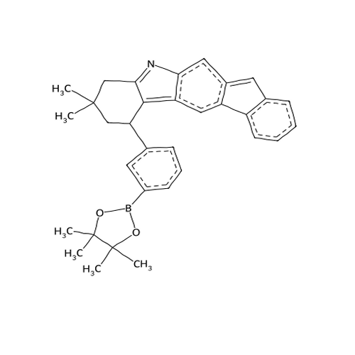 CC1(C)CC2=Nc3cc4c(cc3=C2C(c2cccc(B3OC(C)(C)C(C)(C)O3)c2)C1)-c1ccccc1C=4